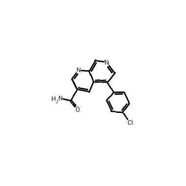 NC(=O)c1cnc2cncc(-c3ccc(Cl)cc3)c2c1